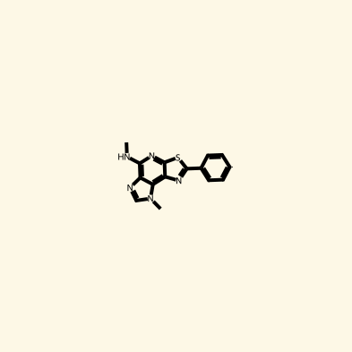 CNc1nc2sc(-c3cc[c]cc3)nc2c2c1ncn2C